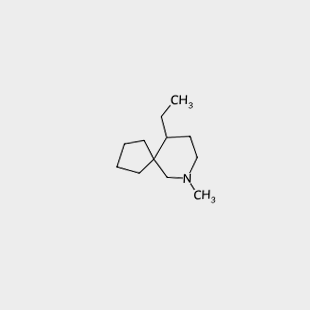 CCC1CCN(C)CC12CCCC2